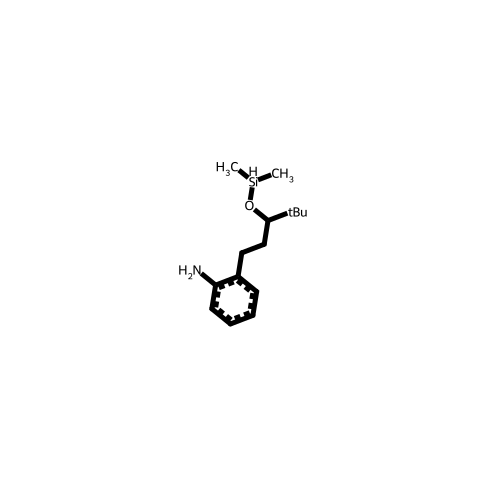 C[SiH](C)OC(CCc1ccccc1N)C(C)(C)C